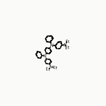 CCN(CC)c1ccc(N(c2ccccc2)c2ccc(N(c3ccccc3)c3ccc(N(CC)CC)cc3)cc2)cc1